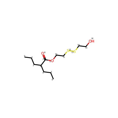 CCCC(CCC)C(=O)OCCSSCCO